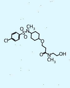 CN(CCO)C(=O)CCOC1CCC(N(C)S(=O)(=O)c2ccc(Cl)cc2)CC1